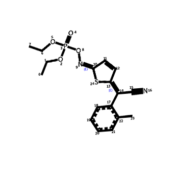 CCOP(=O)(OCC)O/N=C1C=C/C(=C(\C#N)c2ccccc2C)S\1